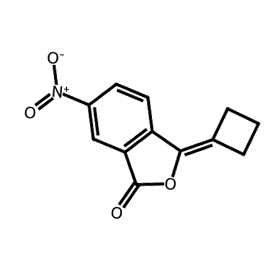 O=C1OC(=C2CCC2)c2ccc([N+](=O)[O-])cc21